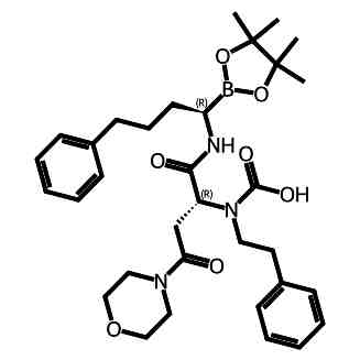 CC1(C)OB([C@H](CCCc2ccccc2)NC(=O)[C@@H](CC(=O)N2CCOCC2)N(CCc2ccccc2)C(=O)O)OC1(C)C